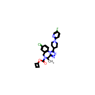 CC1c2nnc(C3CCN(c4ccc(F)cn4)CC3)n2-c2ccc(Cl)cc2CN1C(=O)OC1CCC1